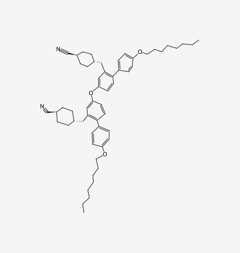 CCCCCCCCOc1ccc(-c2ccc(Oc3ccc(-c4ccc(OCCCCCCCC)cc4)c(C[C@H]4CC[C@H](C#N)CC4)c3)cc2C[C@H]2CC[C@H](C#N)CC2)cc1